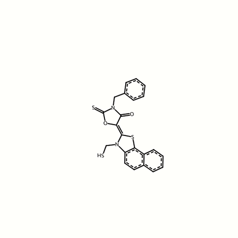 O=C1/C(=C2\Sc3c(ccc4ccccc34)N2CS)OC(=S)N1Cc1ccccc1